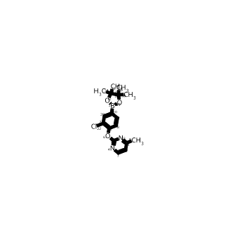 Cc1ccnc(Oc2ccc(B3OC(C)(C)C(C)(C)O3)cc2Cl)n1